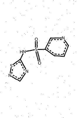 O=S(=O)(Nc1ncns1)c1cccnc1